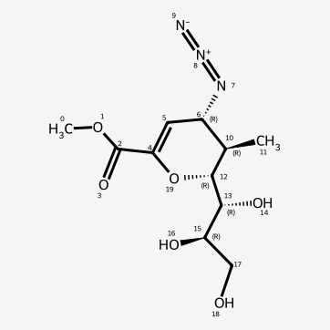 COC(=O)C1=C[C@H](N=[N+]=[N-])[C@@H](C)[C@H]([C@H](O)[C@H](O)CO)O1